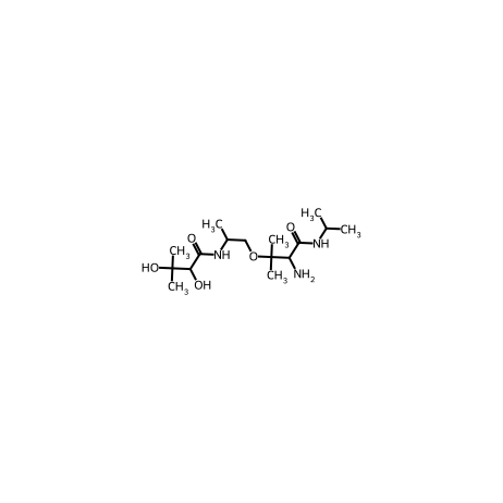 CC(C)NC(=O)C(N)C(C)(C)OCC(C)NC(=O)C(O)C(C)(C)O